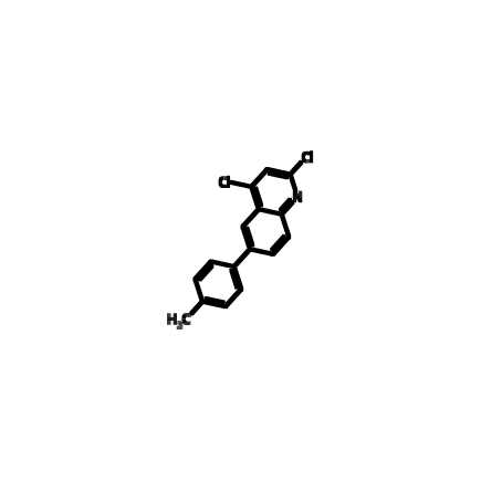 Cc1ccc(-c2ccc3nc(Cl)cc(Cl)c3c2)cc1